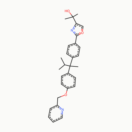 CC(C)C(C)(c1ccc(OCc2ccccn2)cc1)c1ccc(-c2nc(C(C)(C)O)co2)cc1